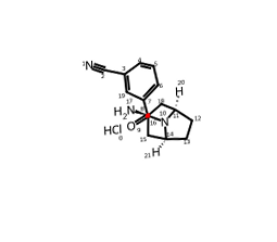 Cl.N#Cc1cccc(C(=O)N2[C@@H]3CC[C@H]2C[C@@H](N)C3)c1